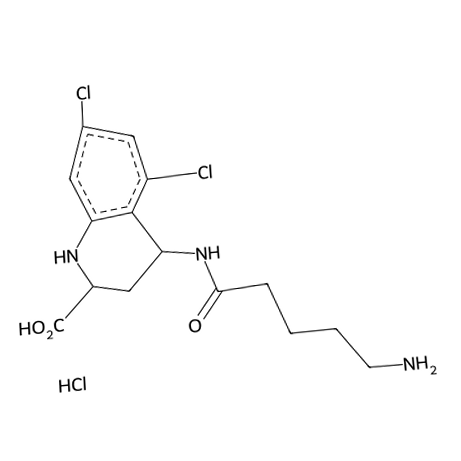 Cl.NCCCCC(=O)NC1CC(C(=O)O)Nc2cc(Cl)cc(Cl)c21